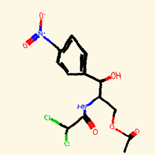 CC(=O)OCC(NC(=O)C(Cl)Cl)C(O)c1ccc([N+](=O)[O-])cc1